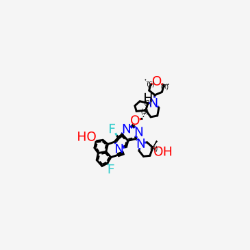 C#Cc1c(F)ccc2cc(O)cc(-c3ncc4c(N5CCC[C@@](C)(O)C5)nc(OC[C@]56CCC[C@H]5N(C5C[C@@H](C)O[C@@H](C)C5)CCC6)nc4c3F)c12